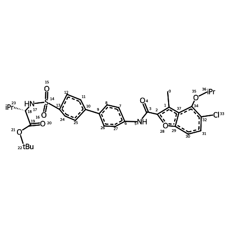 Cc1c(C(=O)Nc2ccc(-c3ccc(S(=O)(=O)N[C@H](C(=O)OC(C)(C)C)C(C)C)cc3)cc2)oc2ccc(Cl)c(OC(C)C)c12